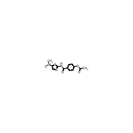 CC(=O)Oc1ccc(C(=O)Nc2ncc([S+](C)[O-])s2)cc1